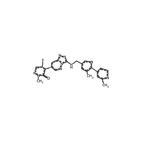 Cc1cc(-c2ncc(CNc3nnc4cc(-c5c(F)cnn(C)c5=O)cnn34)cc2C)ccn1